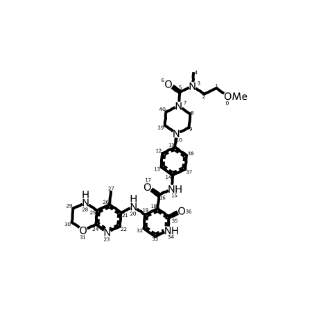 COCCN(C)C(=O)N1CCN(c2ccc(NC(=O)c3c(Nc4cnc5c(c4C)NCCO5)cc[nH]c3=O)cc2)CC1